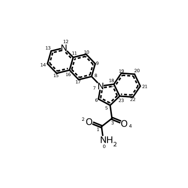 NC(=O)C(=O)c1cn(-c2ccc3ncccc3c2)c2ccccc12